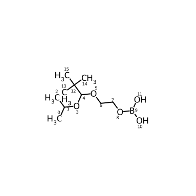 CC(C)OC(OCCOB(O)O)C(C)(C)C